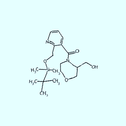 CC(C)(C)[Si](C)(C)OCc1ncccc1C(=O)N1CCOCC1CO